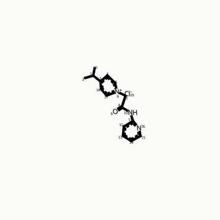 CC(C)c1cc[n+](CC(=O)Nc2ccccn2)cc1.[Cl-]